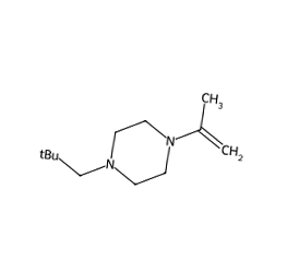 C=C(C)N1CCN(CC(C)(C)C)CC1